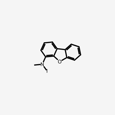 CN(I)c1cccc2c1oc1ccccc12